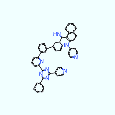 N=C(c1c(Nc2ccncc2)ccc2ccccc12)C1C=CC=C(c2cccc(-c3cccc(-c4nc(-c5ccccc5)nc(-c5ccncc5)n4)n3)c2)C1